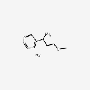 COCCC(N)c1ccccc1.Cl